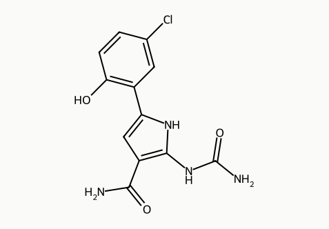 NC(=O)Nc1[nH]c(-c2cc(Cl)ccc2O)cc1C(N)=O